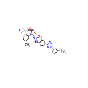 COC(C)c1ccc(C)cc1N1C(=O)CSC1=NC(=O)Nc1ccc(-c2ncn(-c3cccc(OC(F)(F)F)c3)n2)cc1F